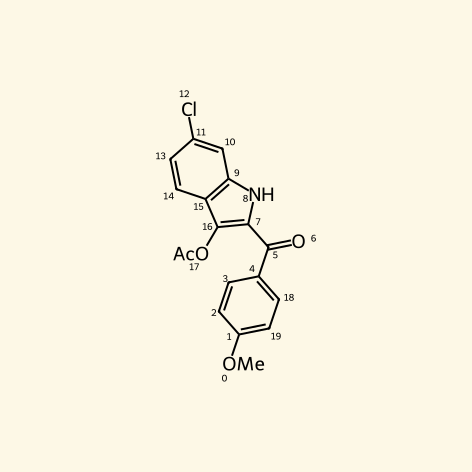 COc1ccc(C(=O)c2[nH]c3cc(Cl)ccc3c2OC(C)=O)cc1